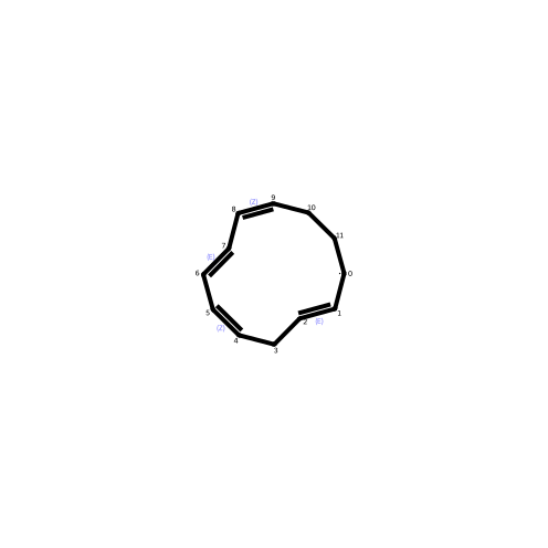 [CH]1/C=C/C\C=C/C=C/C=C\CC1